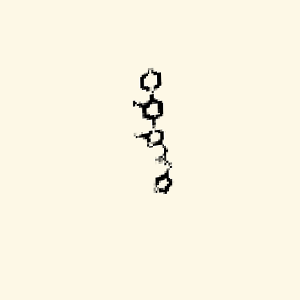 O=C1O[C@H](CNSc2ccoc2)CN1c1ccc(N2CCOCC2)c(F)c1